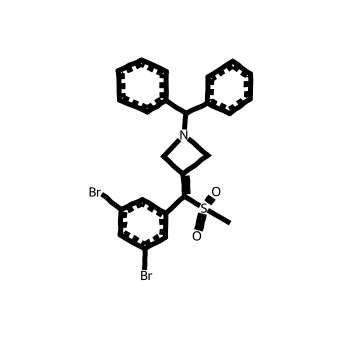 CS(=O)(=O)C(=C1CN(C(c2ccccc2)c2ccccc2)C1)c1cc(Br)cc(Br)c1